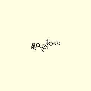 CN(C)S(=O)(=O)c1cccc(-c2csc3cnc(Nc4ccc(N5CCOCC5)cc4)nc23)c1